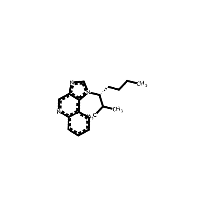 CCCC[C@H](C(C)C)n1cnc2cnc3ccccc3c21